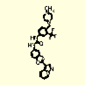 CN1CCN(Cc2ccc(NC(=O)Nc3ccc4oc(-c5cnn6ccccc56)nc4c3)cc2C(F)(F)F)CC1